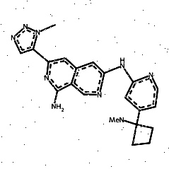 CNC1(c2ccnc(Nc3cc4cc(-c5cnnn5C)nc(N)c4cn3)c2)CCC1